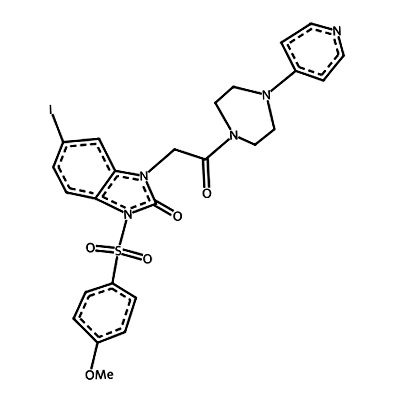 COc1ccc(S(=O)(=O)n2c(=O)n(CC(=O)N3CCN(c4ccncc4)CC3)c3cc(I)ccc32)cc1